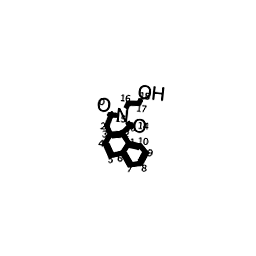 O=C1Cc2ccc3ccccc3c2C(=O)N1CCO